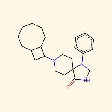 O=C1NCN(c2ccccc2)C12CCN(C1CC3CCCCCCC31)CC2